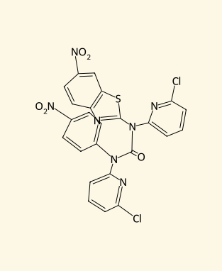 O=C(N(c1ccc([N+](=O)[O-])cc1)c1cccc(Cl)n1)N(c1cccc(Cl)n1)c1nc2ccc([N+](=O)[O-])cc2s1